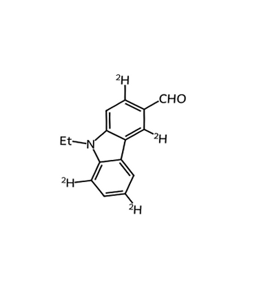 [2H]c1cc([2H])c2c(c1)c1c([2H])c(C=O)c([2H])cc1n2CC